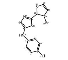 Clc1ccc(Nc2nnc(C3SC=CC3Br)s2)cc1